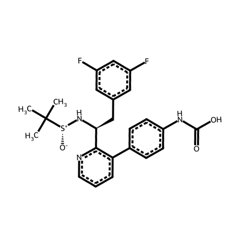 CC(C)(C)[S@@+]([O-])N[C@@H](Cc1cc(F)cc(F)c1)c1ncccc1-c1ccc(NC(=O)O)cc1